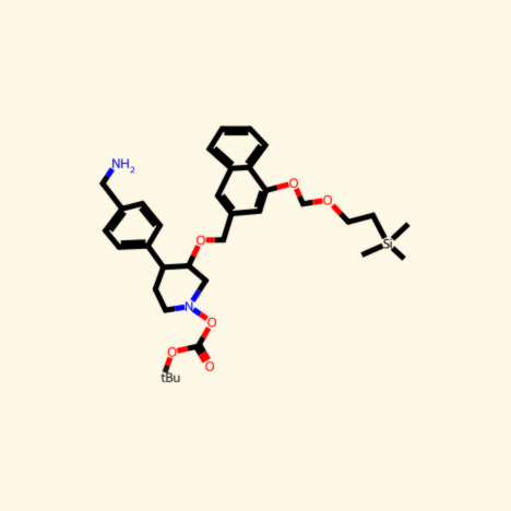 CC(C)(C)OC(=O)ON1CCC(c2ccc(CN)cc2)C(OCc2cc(OCOCC[Si](C)(C)C)c3ccccc3c2)C1